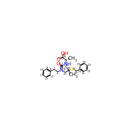 C[C@H](NC(=O)N(CCc1ccccc1)CC(C)(C)SCc1ccccc1)C(=O)O